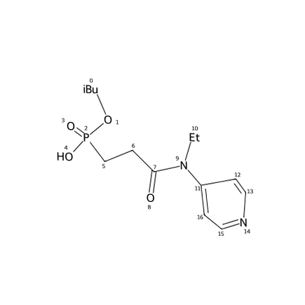 CCC(C)OP(=O)(O)CCC(=O)N(CC)c1ccncc1